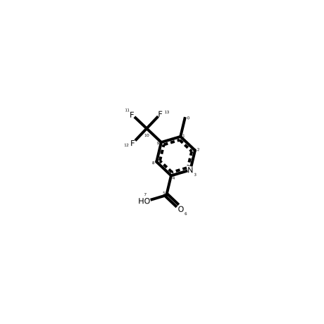 Cc1cnc(C(=O)O)cc1C(F)(F)F